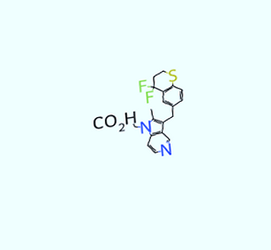 Cc1c(Cc2ccc3c(c2)C(F)(F)CCS3)c2cnccc2n1CC(=O)O